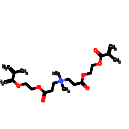 C=C(C)C(=C)OCCOC(=O)CC[N+](C)(CCCC)CCC(=O)OCCOC(=O)C(=C)C